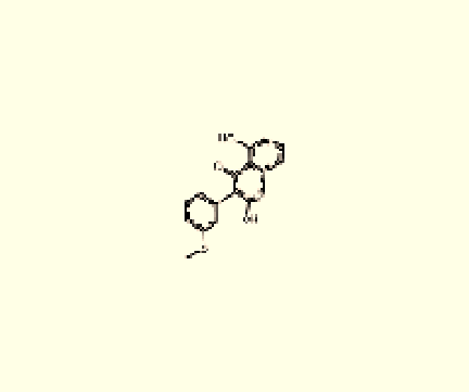 COc1cccc(-c2c(O)oc3cccc(O)c3c2=O)c1